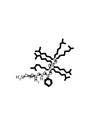 CC(C)CCCCC[Si](CCCCCC(C)C)(CCCCCC(C)C)O[Si](CCCCCC(C)C)(CCCCCC(C)C)O[Si](CCCCCC(C)C)(CCCCCC(C)C)O[SiH](O[SiH2]O[SiH2]O[SiH2]O[SiH3])c1ccccc1